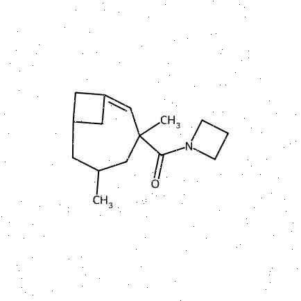 CC1CC2CC(=CC(C)(C(=O)N3CCC3)C1)C2